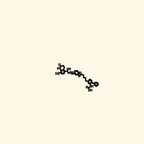 O=C(O)Nc1cc(CCCCc2nc3cc(CNC[C@@H](O)c4ccc(O)c5c4CCC(=O)N5)ccc3o2)ccc1-c1ccccc1